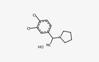 Cl.N#CC(c1ccc(Cl)c(Cl)c1)N1CCCC1